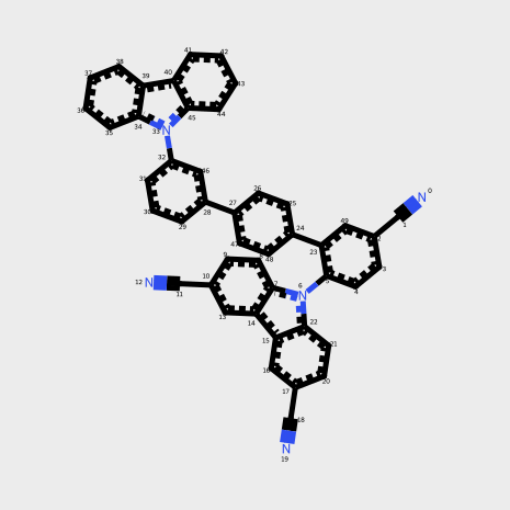 N#Cc1ccc(-n2c3ccc(C#N)cc3c3cc(C#N)ccc32)c(-c2ccc(-c3cccc(-n4c5ccccc5c5ccccc54)c3)cc2)c1